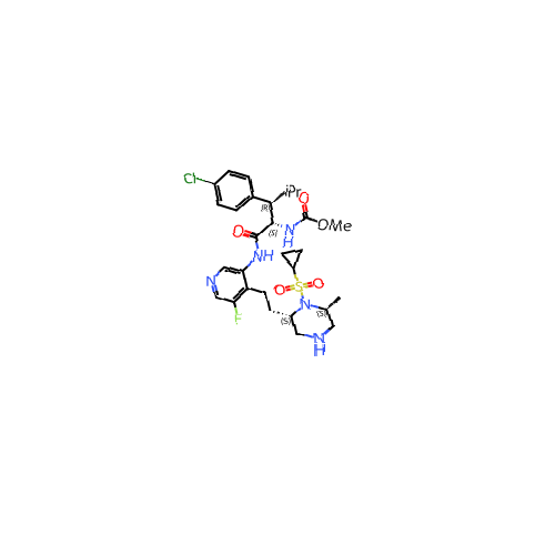 COC(=O)N[C@H](C(=O)Nc1cncc(F)c1CC[C@H]1CNC[C@H](C)N1S(=O)(=O)C1CC1)[C@@H](c1ccc(Cl)cc1)C(C)C